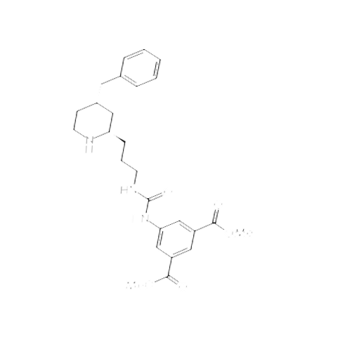 COC(=O)c1cc(NC(=O)NCCC[C@@H]2C[C@@H](Cc3ccccc3)CCN2)cc(C(=O)OC)c1